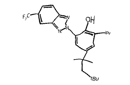 CC(C)c1cc(C(C)(C)CC(C)(C)C)cc(-n2nc3ccc(C(F)(F)F)cc3n2)c1O